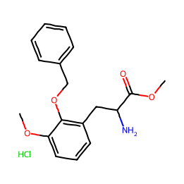 COC(=O)C(N)Cc1cccc(OC)c1OCc1ccccc1.Cl